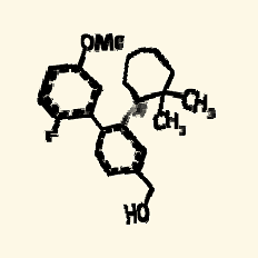 COc1ccc(F)c(-c2ccc(CO)cc2[C@@H]2CCCCC2(C)C)c1